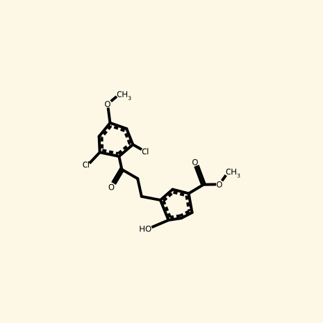 COC(=O)c1ccc(O)c(CCC(=O)c2c(Cl)cc(OC)cc2Cl)c1